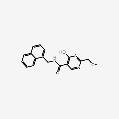 O=C(NCc1cccc2ccccc12)c1cnc(CO)nc1O